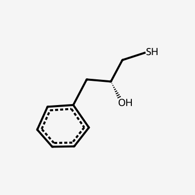 O[C@@H](CS)Cc1ccccc1